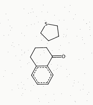 C1CCSC1.O=C1CCCc2ccccc21